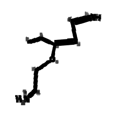 CC/C(=C\C=N)OCCN